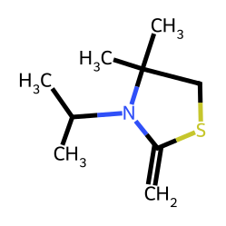 C=C1SCC(C)(C)N1C(C)C